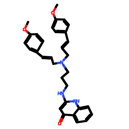 COc1ccc(/C=C/CN(C/C=C/c2ccc(OC)cc2)CCCNc2cc(=O)c3ccccc3[nH]2)cc1